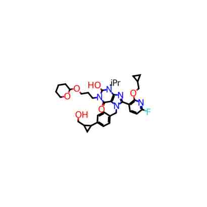 CC(C)N1c2nc(-c3ccc(F)nc3OCC3CC3)n(Cc3ccc(C4CC4CO)cc3)c2C(=O)N(CCCOC2CCCCO2)C1O